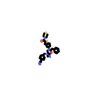 N#Cc1ccc(Cn2cncc2CN(C(=O)Cc2ccccc2)c2ccc3sc(C(=O)N4CCSCC4)cc3c2)cc1